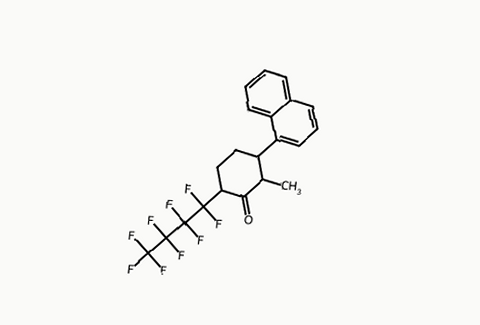 CC1C(=O)C(C(F)(F)C(F)(F)C(F)(F)C(F)(F)F)CCC1c1cccc2ccccc12